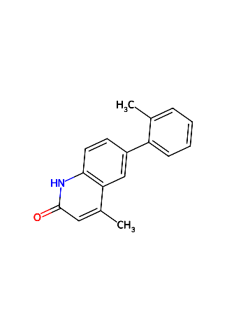 Cc1ccccc1-c1ccc2[nH]c(=O)cc(C)c2c1